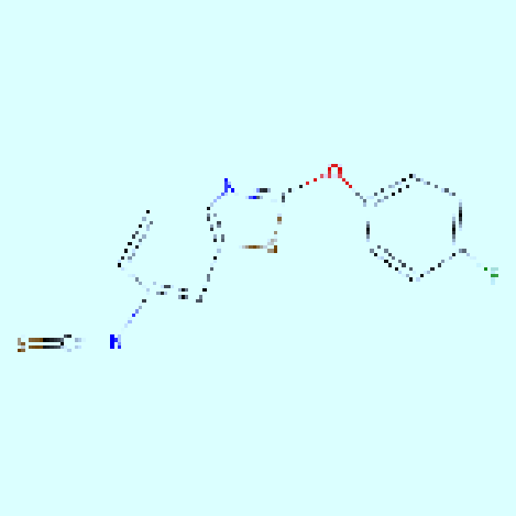 Fc1ccc(Oc2nc3ccc(N=C=S)cc3s2)cc1